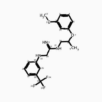 COc1cccc(OC(C)CNC(=N)CNc2cccc(C(F)(F)F)c2)c1